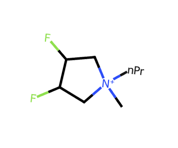 CCC[N+]1(C)CC(F)C(F)C1